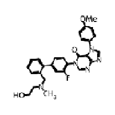 COc1ccc(-n2cnc3ncn(-c4ccc(-c5ccccc5CN(C)CCO)cc4F)c(=O)c32)cc1